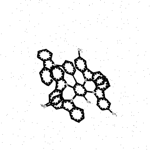 Cc1ccc2c(c1)c1ccccc1n2-c1c(C#N)c(-n2c3ccccc3c3cc(C)ccc32)c(-n2c3ccccc3c3cc(C)ccc32)c(-c2cccc(-n3c4ccccc4c4cccnc43)c2)c1-n1c2ccccc2c2cc(C)ccc21